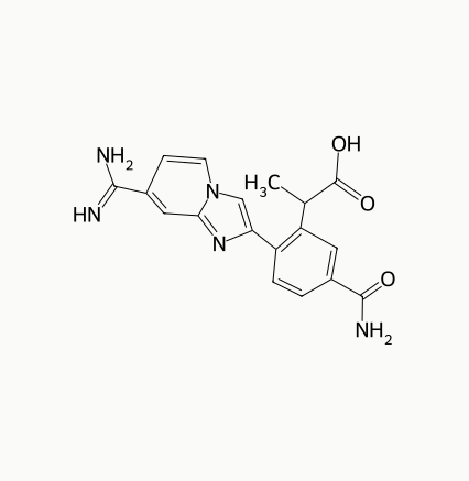 CC(C(=O)O)c1cc(C(N)=O)ccc1-c1cn2ccc(C(=N)N)cc2n1